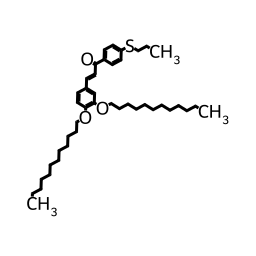 CCCCCCCCCCCCOc1ccc(C=CC(=O)c2ccc(SCCC)cc2)cc1OCCCCCCCCCCCC